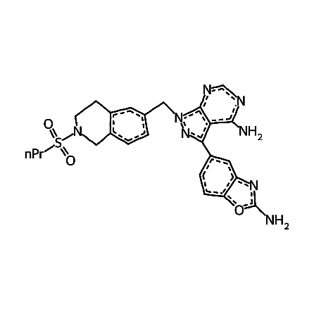 CCCS(=O)(=O)N1CCc2cc(Cn3nc(-c4ccc5oc(N)nc5c4)c4c(N)ncnc43)ccc2C1